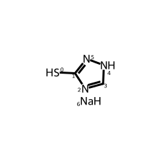 Sc1nc[nH]n1.[NaH]